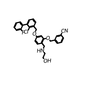 N#Cc1cccc(COc2cc(OCc3cccc(-c4ccccc4F)c3Cl)ccc2CNCCO)c1